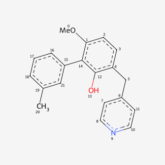 COc1ccc(Cc2ccncc2)c(O)c1-c1cccc(C)c1